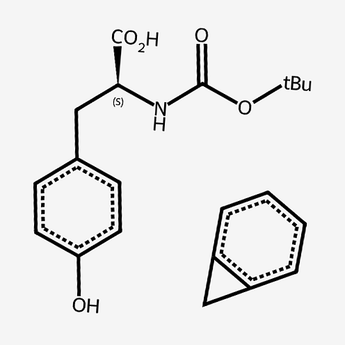 CC(C)(C)OC(=O)N[C@@H](Cc1ccc(O)cc1)C(=O)O.c1ccc2c(c1)C2